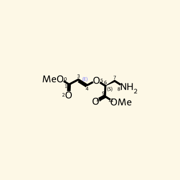 COC(=O)/C=C/O[C@@H](CN)C(=O)OC